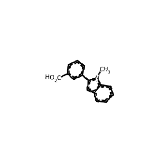 Cn1c(-c2cccc(C(=O)O)c2)cc2ccccc21